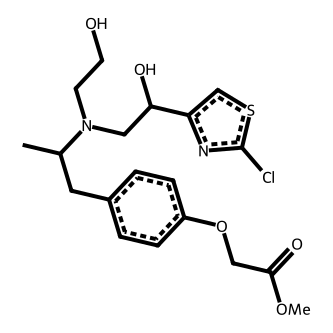 COC(=O)COc1ccc(CC(C)N(CCO)CC(O)c2csc(Cl)n2)cc1